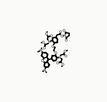 COC(=O)CN(CC(=O)OC)c1ccc(-c2c3ccc(=[N+](C)C)cc-3oc3cc(N(C)C)ccc23)cc1OCCOc1ccc(CC(=O)ON2C(=O)CCC2=O)cc1N(CC(=O)OC)CC(=O)OC